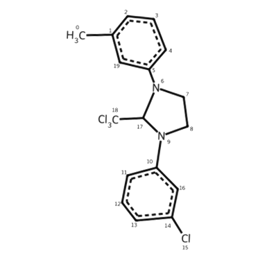 Cc1cccc(N2CCN(c3cccc(Cl)c3)C2C(Cl)(Cl)Cl)c1